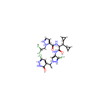 CC(c1cc(Cl)n[nH]c1=O)n1cc(NC(=O)C(NC(=O)c2ccnn2CC(F)F)C(C2CC2)C2CC2)c(F)n1